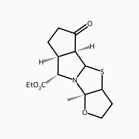 CCOC(=O)[C@@H]1[C@H]2CCC(=O)[C@H]2C2SC3CCO[C@@]3(C)N21